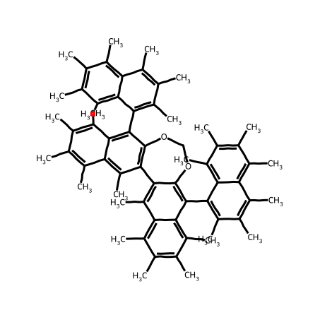 Cc1c(C)c(C)c2c(-c3c4c(c(C)c5c(C)c(C)c(C)c(C)c35)-c3c(c(-c5c(C)c(C)c(C)c6c(C)c(C)c(C)c(C)c56)c5c(C)c(C)c(C)c(C)c5c3C)OCO4)c(C)c(C)c(C)c2c1C